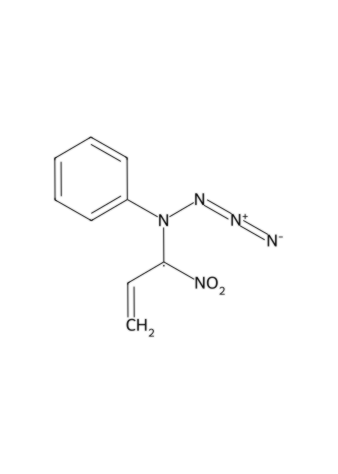 C=C[C](N(N=[N+]=[N-])c1ccccc1)[N+](=O)[O-]